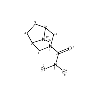 CCN(CC)C(=O)N1CC2CCC(C1)N2C